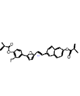 C=C(C)C(=O)Oc1ccc2cc(/C=C/c3ccc(-c4ccc(OC(=O)C(=C)C)c(F)c4)o3)ccc2c1